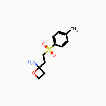 Cc1ccc(S(=O)(=O)CCC2(N)CCO2)cc1